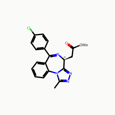 COC(=O)C[C@@H]1N=C(c2ccc(Cl)cc2)c2ccccc2-n2c(C)nnc21